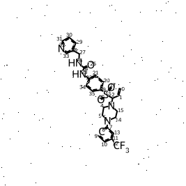 C=CC(N1CCN(c2cccc(C(F)(F)F)c2)CC1)S(=O)(=O)c1ccc(NC(=O)NCc2cccnc2)cc1